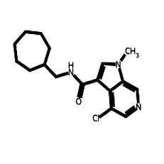 Cn1cc(C(=O)NCC2CCCCCC2)c2c(Cl)cncc21